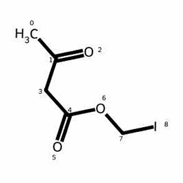 CC(=O)CC(=O)OCI